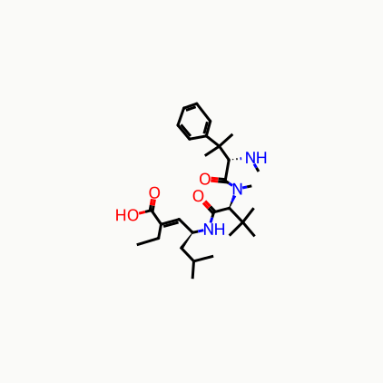 CC/C(=C\[C@H](CC(C)C)NC(=O)[C@@H](N(C)C(=O)[C@@H](NC)C(C)(C)c1ccccc1)C(C)(C)C)C(=O)O